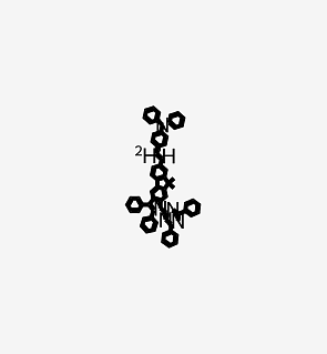 [2H]/C(=C(/[2H])c1ccc2c(c1)C(C)(C)c1cc3c(cc1-2)c(-c1ccccc1)c(-c1ccccc1)n3-c1nc(-c2ccccc2)nc(-c2ccccc2)n1)c1ccc(N(c2ccccc2)c2ccccc2)cc1